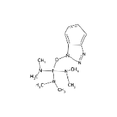 CN(C)[P](On1nnc2ccccc21)(N(C)C)N(C)C